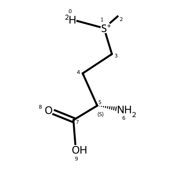 [2H][S+](C)CC[C@H](N)C(=O)O